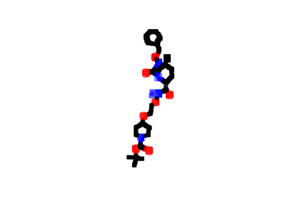 CC(C)(C)OC(=O)N1CCC(OCCONC(=O)[C@@H]2CC[C@@H]3CN2C(=O)N3OCc2ccccc2)CC1